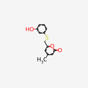 Cc1cc(CSc2cccc(O)c2)oc(=O)c1